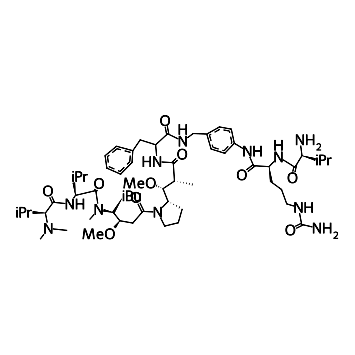 CC[C@H](C)[C@@H]([C@@H](CC(=O)N1CCC[C@H]1[C@H](OC)[C@@H](C)C(=O)NC(Cc1ccccc1)C(=O)NCc1ccc(NC(=O)[C@H](CCCNC(N)=O)NC(=O)[C@@H](N)C(C)C)cc1)OC)N(C)C(=O)[C@@H](NC(=O)[C@H](C(C)C)N(C)C)C(C)C